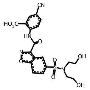 N#Cc1ccc(NC(=O)c2noc3ccc(S(=O)(=O)N(CCO)CCO)cc23)c(C(=O)O)c1